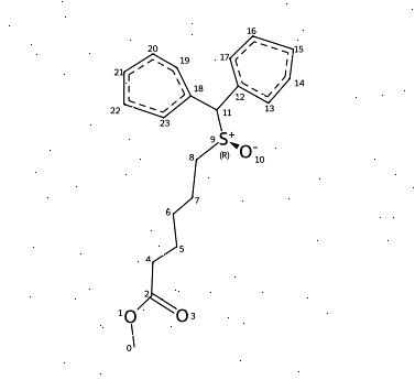 COC(=O)CCCCC[S@+]([O-])C(c1ccccc1)c1ccccc1